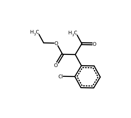 CCOC(=O)C(C(C)=O)c1ccccc1Cl